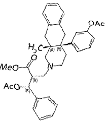 COC(=O)[C@H](CN1CC[C@@]2(c3cccc(OC(C)=O)c3)Cc3ccccc3C[C@@]2(C)C1)[C@@H](OC(C)=O)c1ccccc1